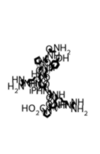 CC(C)[C@@H](NC(=O)[C@H](CCCNC(=N)N)NC(=O)[C@@H](Cc1ccc(O)cc1)NC(=O)[C@@H]1CCCN1C(=O)CNC(=O)CN)C(=O)NCC(=O)N[C@@H](CCCNC(=N)N)C(=O)N[C@@H](C)C(=O)N1CCC[C@H]1C(=O)O